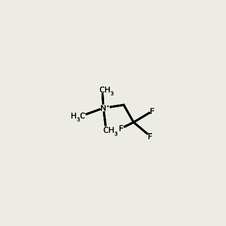 C[N+](C)(C)CC(F)(F)F